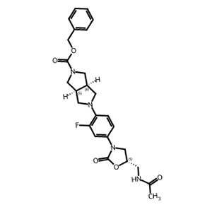 CC(=O)NC[C@H]1CN(c2ccc(N3C[C@H]4CN(C(=O)OCc5ccccc5)C[C@H]4C3)c(F)c2)C(=O)O1